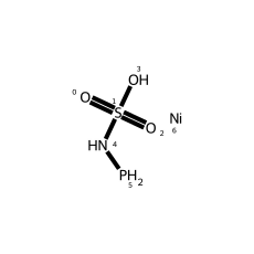 O=S(=O)(O)NP.[Ni]